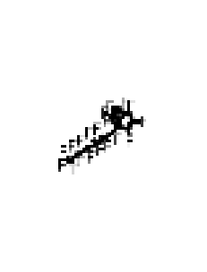 FC1=C(F)C2(C(F)(F)C(F)(F)C(F)(F)C(F)(F)C(F)(F)C(F)(F)F)C(F)(F)C(F)(F)C1(F)C2(F)F